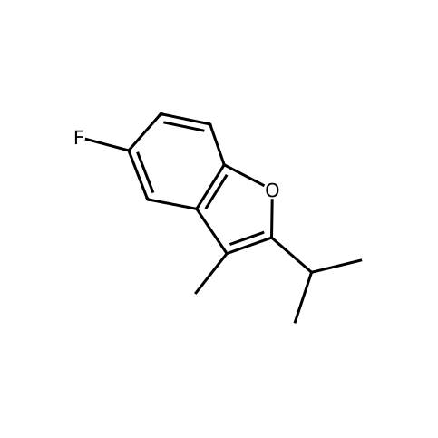 Cc1c(C(C)C)oc2ccc(F)cc12